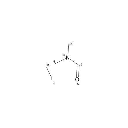 CI.CN(C)C=O